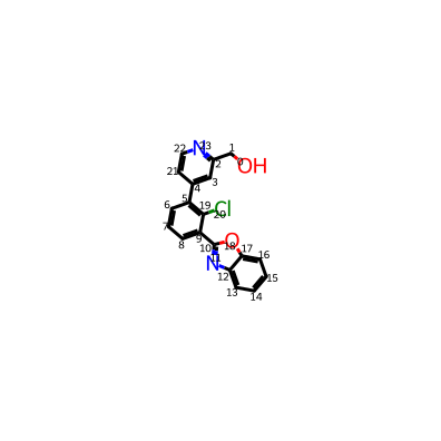 OCc1cc(-c2cccc(-c3nc4ccccc4o3)c2Cl)ccn1